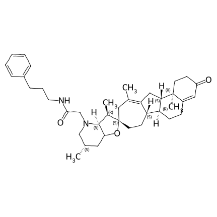 CC1=C2C[C@H]3[C@@H](CCC4=CC(=O)CC[C@@]43C)[C@@H]2CC[C@@]2(C1)OC1C[C@H](C)CN(CC(=O)NCCCc3ccccc3)[C@H]1[C@H]2C